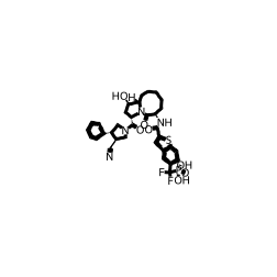 N#C[C@@H]1CN(C(=O)[C@@H]2C[C@@H](O)[C@@H]3CCCCC[C@H](NC(=O)c4cc5cc(C(F)(F)P(=O)(O)O)ccc5s4)C(=O)N23)C[C@H]1c1ccccc1